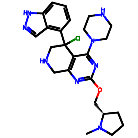 CN1CCC[C@H]1COc1nc2c(c(N3CCNCC3)n1)C(Cl)(c1cccc3[nH]ncc13)CNC2